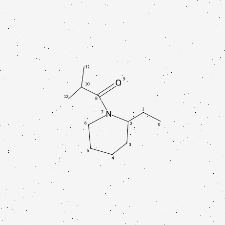 CCC1CCCCN1C(=O)C(C)C